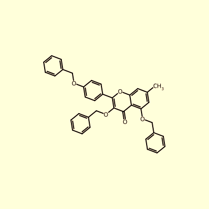 Cc1cc(OCc2ccccc2)c2c(=O)c(OCc3ccccc3)c(-c3ccc(OCc4ccccc4)cc3)oc2c1